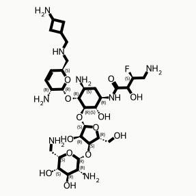 NC[C@@H]1O[C@H](O[C@H]2[C@@H](O)[C@H](O[C@@H]3[C@@H](O)[C@H](NC(=O)C(O)[C@@H](F)CN)C[C@H](N)[C@H]3O[C@H]3O[C@H](CNCC4CC(N)C4)C=C[C@H]3N)O[C@@H]2CO)[C@H](N)[C@@H](O)[C@@H]1O